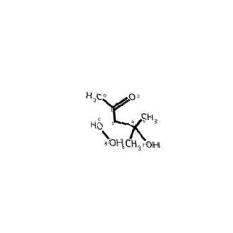 CC(=O)CC(C)(C)O.OO